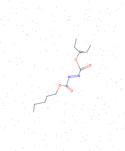 CCCCCOC(=O)N=NC(=O)O[SiH](CC)CC